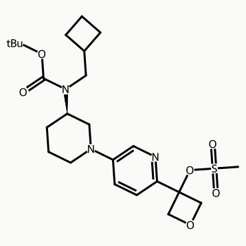 CC(C)(C)OC(=O)N(CC1CCC1)[C@@H]1CCCN(c2ccc(C3(OS(C)(=O)=O)COC3)nc2)C1